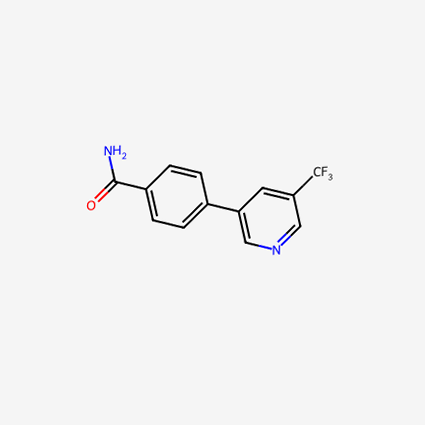 NC(=O)c1ccc(-c2cncc(C(F)(F)F)c2)cc1